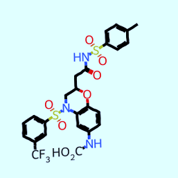 Cc1ccc(S(=O)(=O)NC(=O)CC2CN(S(=O)(=O)c3cccc(C(F)(F)F)c3)c3cc(NC(=O)O)ccc3O2)cc1